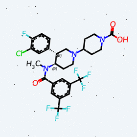 CN(C(=O)c1cc(C(F)(F)F)cc(C(F)(F)F)c1)[C@@H]1CCN(C2CCN(C(=O)O)CC2)C[C@H]1c1ccc(F)c(Cl)c1